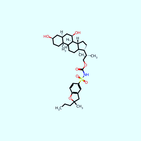 CCCC1(C)Cc2cc(S(=O)(=O)NC(=O)OC[C@@H](C)[C@H]3CC[C@H]4[C@@H]5[C@H](O)C[C@@H]6C[C@H](O)CC[C@]6(C)[C@H]5CC[C@]34C)ccc2O1